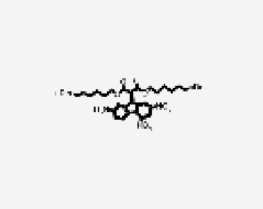 CCCCCCCCCCCCCCCCOC(=O)C(C(=O)OCCCCCCCCCCCCCCCC)=C1c2cc([N+](=O)[O-])ccc2-c2c1cc([N+](=O)[O-])cc2[N+](=O)[O-]